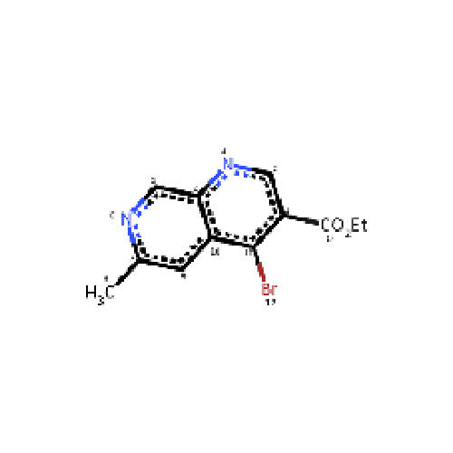 CCOC(=O)c1cnc2cnc(C)cc2c1Br